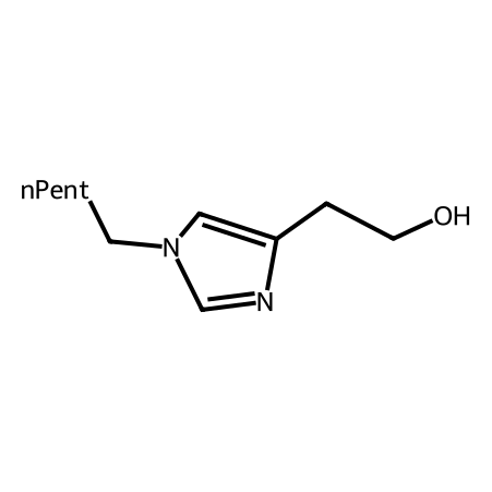 CCCCCCn1cnc(CCO)c1